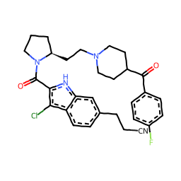 N#CCCc1ccc2c(Cl)c(C(=O)N3CCC[C@H]3CCN3CCC(C(=O)c4ccc(F)cc4)CC3)[nH]c2c1